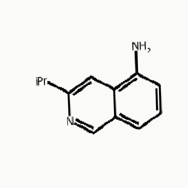 CC(C)c1cc2c(N)cccc2cn1